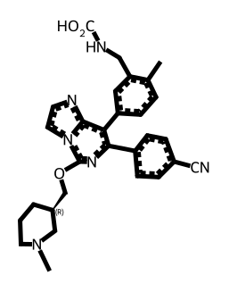 Cc1ccc(-c2c(-c3ccc(C#N)cc3)nc(OC[C@@H]3CCCN(C)C3)n3ccnc23)cc1CNC(=O)O